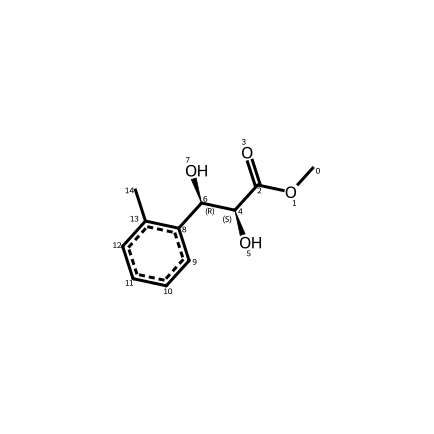 COC(=O)[C@@H](O)[C@H](O)c1ccccc1C